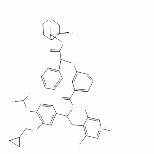 O=C(OC(Cc1c(Cl)c[n+]([O-])cc1Cl)c1ccc(OC(F)F)c(OCC2CC2)c1)c1cccc(NC(C(=O)O[C@H]2CN3CCC2CC3)c2ccccc2)c1